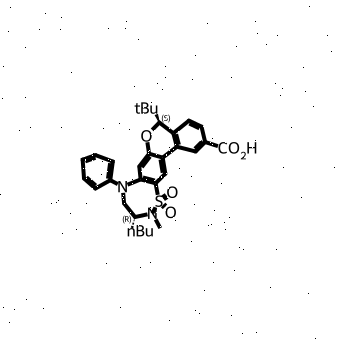 CCCC[C@@H]1CN(c2ccccc2)c2cc3c(cc2S(=O)(=O)N1C)-c1cc(C(=O)O)ccc1[C@H](C(C)(C)C)O3